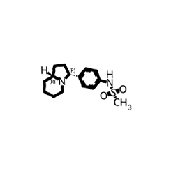 CS(=O)(=O)Nc1ccc([C@H]2CC[C@H]3CCCCN32)cc1